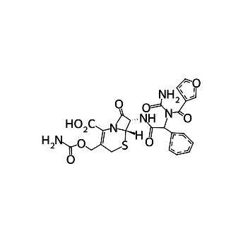 NC(=O)OCC1=C(C(=O)O)N2C(=O)[C@H](NC(=O)C(c3ccccc3)N(C(N)=O)C(=O)c3ccoc3)[C@@H]2SC1